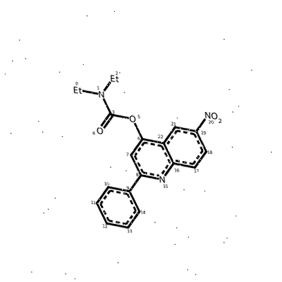 CCN(CC)C(=O)Oc1cc(-c2ccccc2)nc2ccc([N+](=O)[O-])cc12